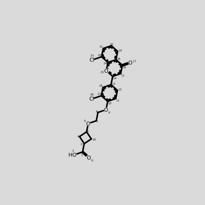 O=C(O)C1CC(OCCOc2ccc(-c3cc(=O)c4cccc(Cl)c4o3)cc2Cl)C1